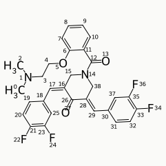 CN(C)CCOc1ccccc1C(=O)N1CC(=Cc2ccc(F)c(F)c2)C(=O)C(=Cc2ccc(F)c(F)c2)C1